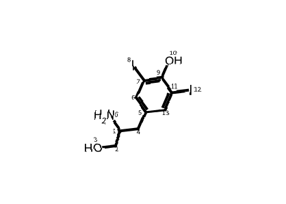 NC(CO)Cc1cc(I)c(O)c(I)c1